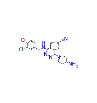 COc1ccc(CNc2nnc(N3CCC(N)CC3)c3cc(C#N)ccc23)cc1Cl